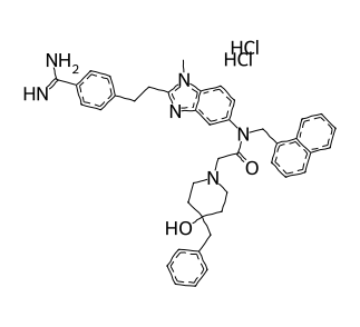 Cl.Cl.Cn1c(CCc2ccc(C(=N)N)cc2)nc2cc(N(Cc3cccc4ccccc34)C(=O)CN3CCC(O)(Cc4ccccc4)CC3)ccc21